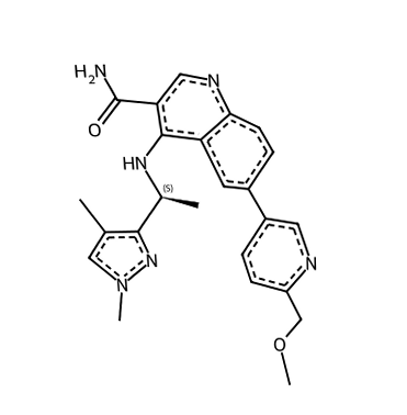 COCc1ccc(-c2ccc3ncc(C(N)=O)c(N[C@@H](C)c4nn(C)cc4C)c3c2)cn1